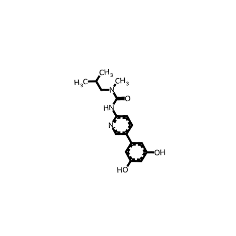 CC(C)CN(C)C(=O)Nc1ccc(-c2cc(O)cc(O)c2)cn1